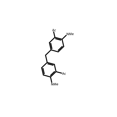 CNc1ccc(Cc2ccc(NC)c(C(C)=O)c2)cc1C(C)=O